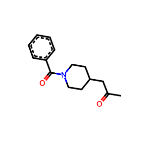 CC(=O)CC1CCN(C(=O)c2ccccc2)CC1